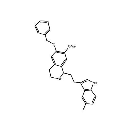 COc1cc2c(cc1OCc1ccccc1)CCNC2CCc1c[nH]c2ccc(F)cc12